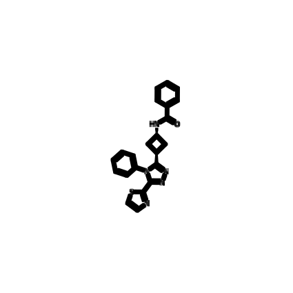 O=C(N[C@H]1C[C@H](c2nnc(-c3nccs3)n2-c2ccccc2)C1)c1ccccc1